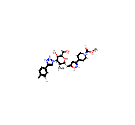 CO[C@@H]1[C@@H](n2cc(-c3ccc(C)c(F)c3)nn2)[C@@H](O)[C@@H](CO)O[C@@H]1CC1CC(C2CCN(C(=O)OC(C)(C)C)CC2)=NO1